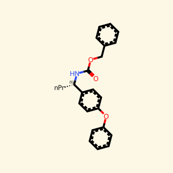 CCC[C@H](NC(=O)OCc1ccccc1)c1ccc(Oc2ccccc2)cc1